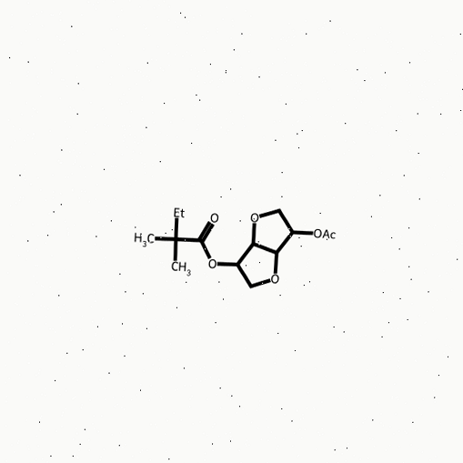 CCC(C)(C)C(=O)OC1COC2C(OC(C)=O)COC12